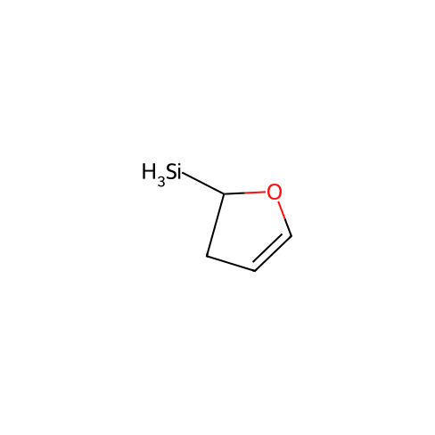 [SiH3]C1CC=CO1